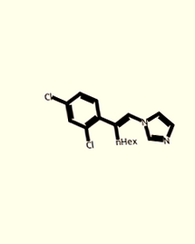 CCCCCCC(=Cn1ccnc1)c1ccc(Cl)cc1Cl